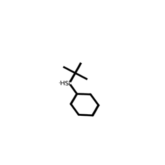 CC(C)(C)[SiH]C1CCCCC1